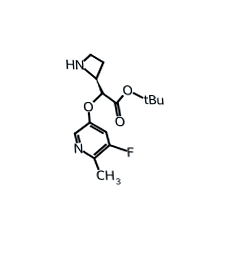 Cc1ncc(OC(C(=O)OC(C)(C)C)[C@@H]2CCN2)cc1F